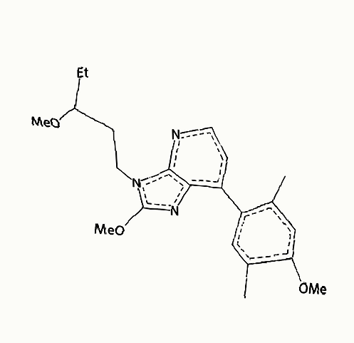 CCC(CCn1c(OC)nc2c(-c3cc(C)c(OC)cc3C)ccnc21)OC